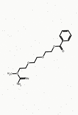 CN(CCOCCOCCOC(=O)c1ccccc1)C(=N)N